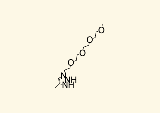 COCCOCCOCCOCCN1C=C(C)NN1